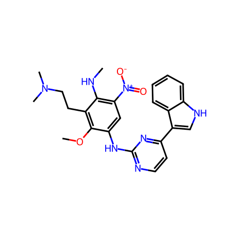 CNc1c([N+](=O)[O-])cc(Nc2nccc(-c3c[nH]c4ccccc34)n2)c(OC)c1CCN(C)C